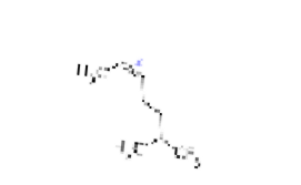 C/C=C\CCC(C)C(F)(F)F